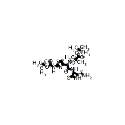 CC(C)(C)OC(=O)Nc1nc(/C(=N/OC(C)(C)C(=O)OC(C)(C)C)C(=O)NC2C(=O)N[C@H]2CN)cs1